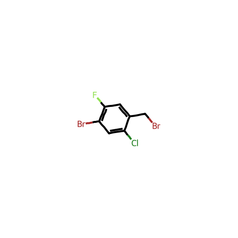 Fc1cc(CBr)c(Cl)cc1Br